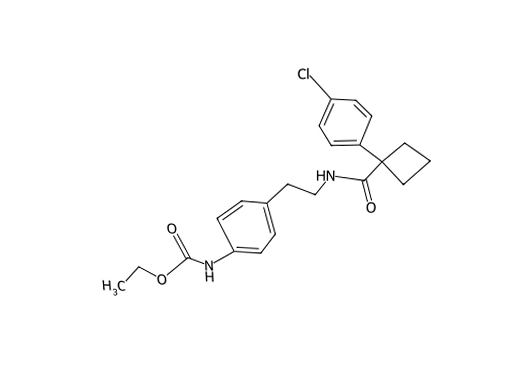 CCOC(=O)Nc1ccc(CCNC(=O)C2(c3ccc(Cl)cc3)CCC2)cc1